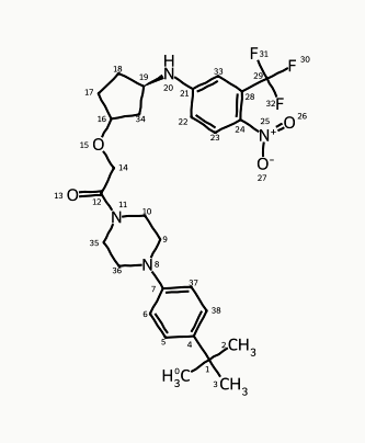 CC(C)(C)c1ccc(N2CCN(C(=O)COC3CC[C@@H](Nc4ccc([N+](=O)[O-])c(C(F)(F)F)c4)C3)CC2)cc1